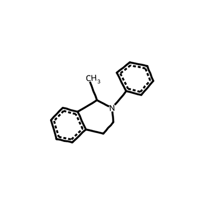 CC1c2ccccc2CCN1c1ccccc1